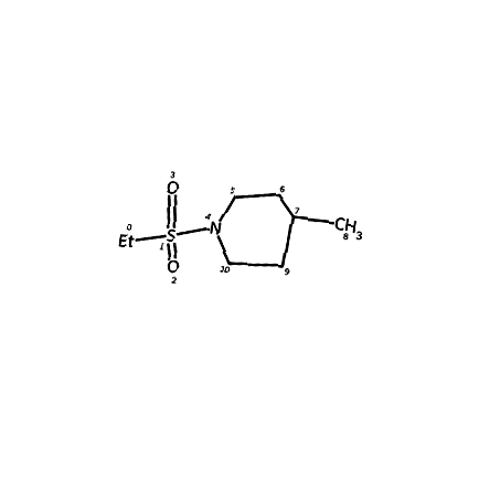 CCS(=O)(=O)N1CCC(C)CC1